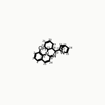 Oc1cccc2c1N1C(=NC(C3C=C4C=CN3C4)C3CC=CCC31)C=C2